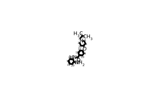 CC(C)CN1CCC(Oc2ccc(C(=O)Nc3ccccc3N)cc2)CC1